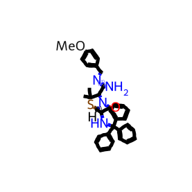 COc1ccc(C/N=C(\N)C2N3C(=O)C(NC(c4ccccc4)(c4ccccc4)c4ccccc4)[C@H]3SC2(C)C)cc1